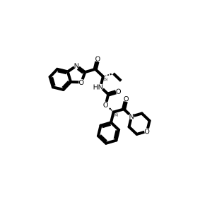 CC[C@H](NC(=O)O[C@H](C(=O)N1CCOCC1)c1ccccc1)C(=O)c1nc2ccccc2o1